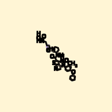 Cc1cc(Oc2ccccc2)ccc1N1C(=O)Nc2c(C(=O)NC3CCCN(C(=O)/C=C/CNC(=O)O)C3)sc3nccc1c23